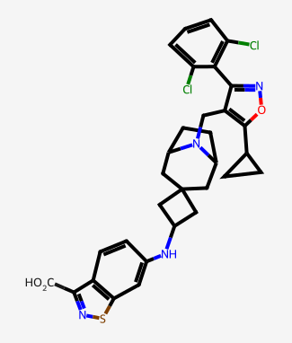 O=C(O)c1nsc2cc(NC3CC4(C3)CC3CCC(C4)N3Cc3c(-c4c(Cl)cccc4Cl)noc3C3CC3)ccc12